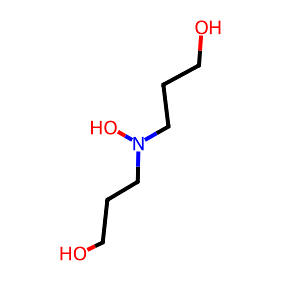 OCCCN(O)CCCO